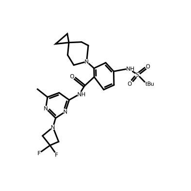 Cc1cc(NC(=O)c2ccc(NS(=O)(=O)C(C)(C)C)cc2N2CCC3(CC2)CC3)nc(N2CC(F)(F)C2)n1